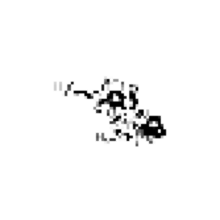 CCCCOC(=O)c1c(OC)ccc(C[C@H](CC=O)B2OC3CC4CC5C4(C)C3[C@@]5(C)O2)c1OC(=O)OC(C)(C)C